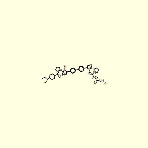 CCN(CC)C1CCC(C(=O)N2CCC[C@H]2c2ncc(-c3ccc(-c4ccc(-c5cnc([C@@H]6CCCN6C(=O)[C@H](C)OC(N)=O)[nH]5)cc4)cc3)[nH]2)CC1